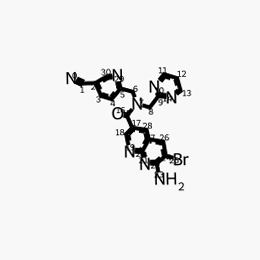 N#Cc1ccc(CN(Cc2ncccn2)C(=O)c2cnc3nc(N)c(Br)cc3c2)nc1